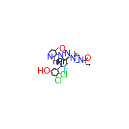 C=CC(=O)N1CCN(c2nc(=O)n(-c3c(C)ccnc3CCC)c3nc(-c4cc(O)cc(Cl)c4Cl)c(F)cc23)[C@@H](C)C1